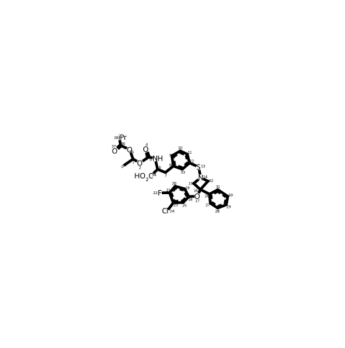 CC(OC(=O)NC(Cc1cccc(SN2CC(Oc3ccc(F)c(Cl)c3)(c3ccccc3)C2)c1)C(=O)O)OC(=O)C(C)C